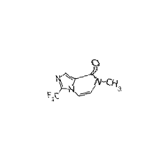 Cn1ccn2c(C(F)(F)F)ncc2c1=O